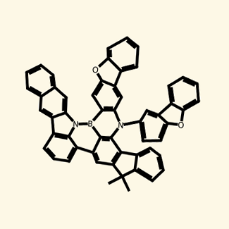 CC1(C)c2ccccc2-c2c1cc1c3c2N(c2ccc4oc5ccccc5c4c2)c2cc4c(cc2B3n2c3cc5ccccc5cc3c3cccc-1c32)oc1ccccc14